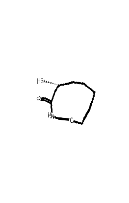 O=C1NCCCCCC[C@H]1S